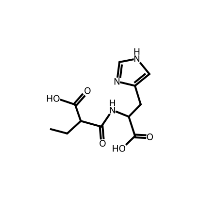 CCC(C(=O)O)C(=O)NC(Cc1c[nH]cn1)C(=O)O